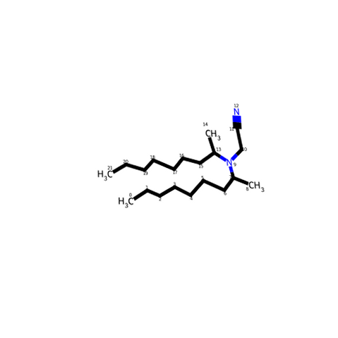 CCCCCCCC(C)N(CC#N)C(C)CCCCCCC